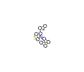 CC1(C)c2ccccc2-c2cccc(-c3ccc(N(c4ccc5c(c4)C4(c6ccccc6-c6ccccc64)c4ccccc4-5)c4cccc5sc6ccccc6c45)cc3)c21